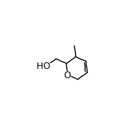 CC1C=CCOC1CO